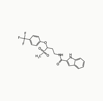 CS(=O)(=O)C(CCNC(=O)c1cc2ccccc2[nH]1)Oc1ccc(C(F)(F)F)cc1